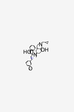 COc1cccc(/C=C/C(=O)N(C)C2CCC3(O)CN(CC4CC4)CCC3(c3cccc(O)c3)C2)c1